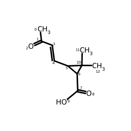 CC(=O)/C=C/C1C(C(=O)O)C1(C)C